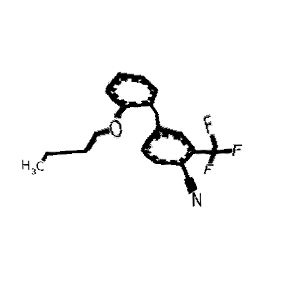 CCCCOc1ccccc1-c1ccc(C#N)c(C(F)(F)F)c1